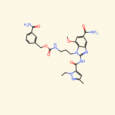 CCn1nc(C)cc1C(=O)Nc1nc2cc(C(N)=O)cc(OC)c2n1CCCNC(=O)OCc1cccc(C(N)=O)c1